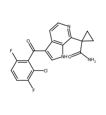 NC(=O)C1(c2nccc3c(C(=O)c4c(F)ccc(F)c4Cl)c[nH]c23)CC1